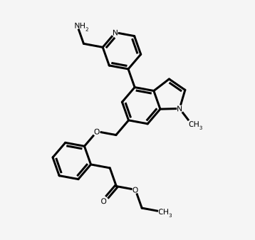 CCOC(=O)Cc1ccccc1OCc1cc(-c2ccnc(CN)c2)c2ccn(C)c2c1